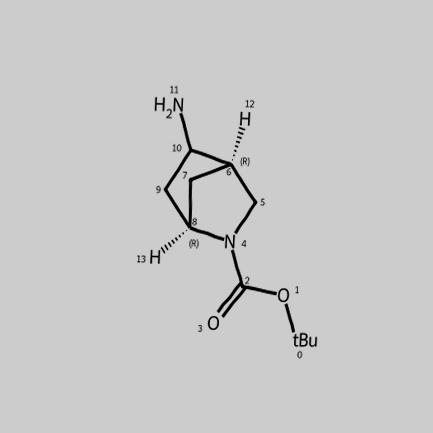 CC(C)(C)OC(=O)N1C[C@H]2C[C@@H]1CC2N